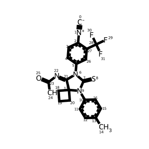 [C-]#[N+]c1ccc(N2C(=S)N(c3ccc(C)cc3)C3(CCC3)C2=NC(C)=O)cc1C(F)(F)F